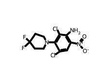 Nc1c([N+](=O)[O-])cc(Cl)c(N2CCC(F)(F)CC2)c1Cl